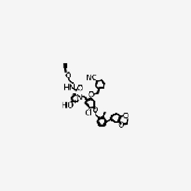 C#CCOCCNC(=O)[C@H]1C[C@@H](O)CN1Cc1cc(Cl)c(OCc2cccc(-c3ccc4c(c3)OCCO4)c2C)cc1OCc1cccc(C#N)c1